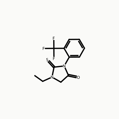 CCN1CC(=O)N(c2ccccc2C(F)(F)F)C1=S